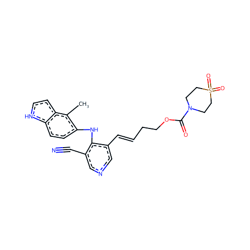 Cc1c(Nc2c(C#N)cncc2C=CCCOC(=O)N2CCS(=O)(=O)CC2)ccc2[nH]ccc12